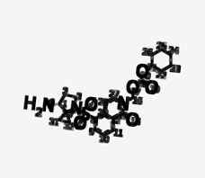 N[C@@H]1CCN(S(=O)(=O)c2cccc3c(=O)n(COC(=O)OC4CCCCC4)ccc23)C12CC2